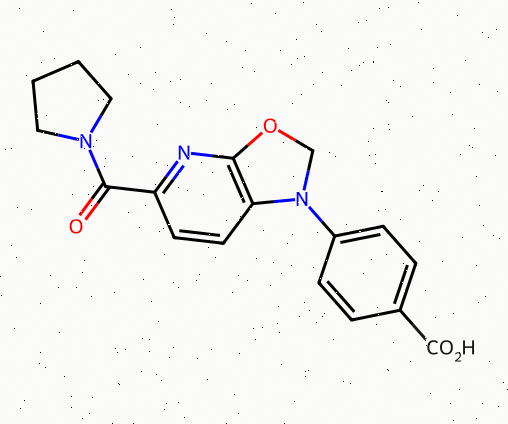 O=C(O)c1ccc(N2COc3nc(C(=O)N4CCCC4)ccc32)cc1